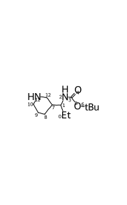 CCC(NC(=O)OC(C)(C)C)C1CCCNC1